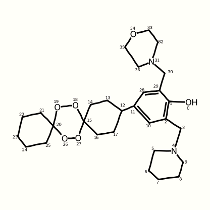 Oc1c(CN2CCCCC2)cc(C2CCC3(CC2)OOC2(CCCCC2)OO3)cc1CN1CCOCC1